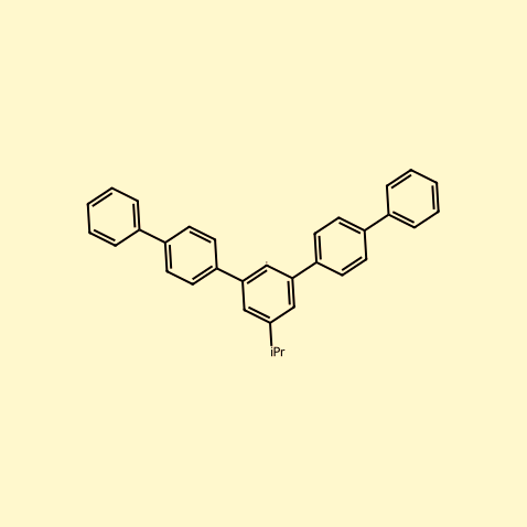 CC(C)c1cc(-c2ccc(-c3ccccc3)cc2)[c]c(-c2ccc(-c3ccccc3)cc2)c1